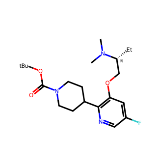 CC[C@H](COc1cc(F)cnc1C1CCN(C(=O)OC(C)(C)C)CC1)N(C)C